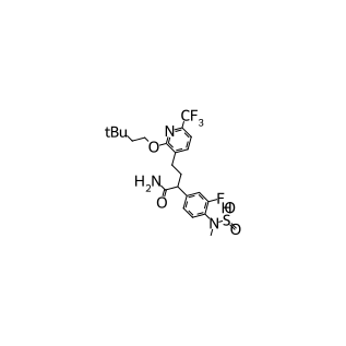 CN(c1ccc(C(CCc2ccc(C(F)(F)F)nc2OCCC(C)(C)C)C(N)=O)cc1F)[SH](=O)=O